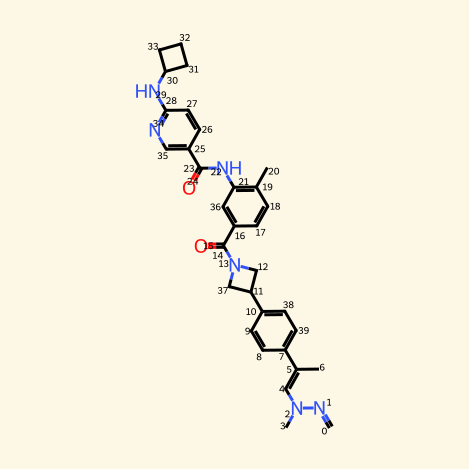 C=NN(C)/C=C(\C)c1ccc(C2CN(C(=O)c3ccc(C)c(NC(=O)c4ccc(NC5CCC5)nc4)c3)C2)cc1